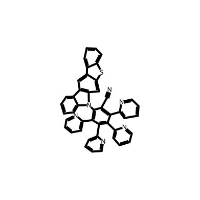 N#Cc1c(-c2ccccn2)c(-c2ccccn2)c(-c2ccccn2)c(-c2ccccn2)c1-n1c2ccccc2c2cc3c(cc21)sc1ccccc13